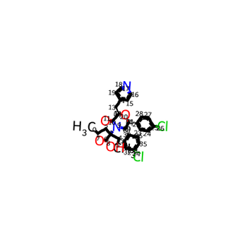 CCCC(CC)(C(=O)O)N1C(=O)[C@@H](Cc2ccncc2)O[C@H](c2ccc(Cl)cc2)[C@@H]1c1ccc(Cl)cc1